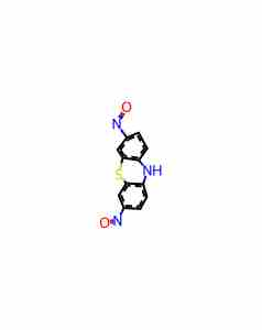 O=Nc1ccc2c(c1)Sc1cc(N=O)ccc1N2